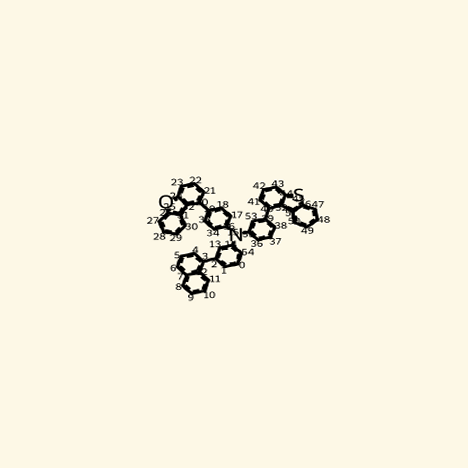 c1cc(-c2cccc3ccccc23)cc(N(c2ccc(-c3cccc4oc5ccccc5c34)cc2)c2cccc(-c3cccc4sc5ccccc5c34)c2)c1